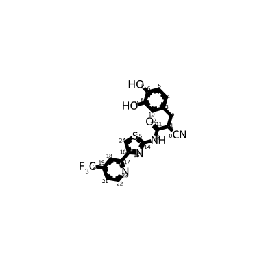 N#CC(Cc1ccc(O)c(O)c1)C(=O)Nc1nc(-c2cc(C(F)(F)F)ccn2)cs1